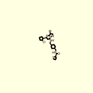 O=C(NCc1ccc(CNc2cc(-c3ccccc3Cl)nc3c(Br)cnn23)cc1)c1cccs1